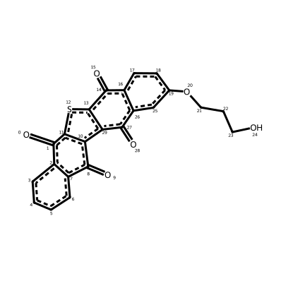 O=c1c2ccccc2c(=O)c2c1sc1c(=O)c3ccc(OCCCO)cc3c(=O)c12